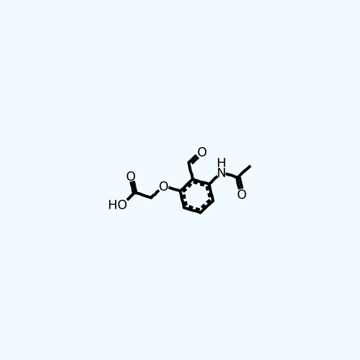 CC(=O)Nc1cccc(OCC(=O)O)c1C=O